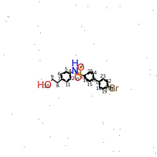 O=S(=O)(Nc1ccc(CCO)cc1)c1ccc(-c2ccc(Br)cc2)cc1